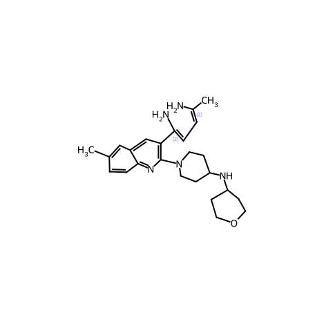 C/C(N)=C/C=C(\N)c1cc2cc(C)ccc2nc1N1CCC(NC2CCOCC2)CC1